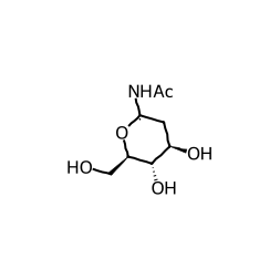 CC(=O)N[C]1C[C@@H](O)[C@H](O)[C@@H](CO)O1